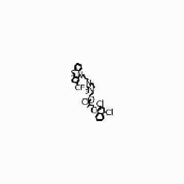 CC(COc1c(Cl)cc(Cl)c2ccccc12)C(=O)OCCN1CCN(CCCN2c3ccccc3Sc3ccc(C(F)(F)F)cc32)CC1